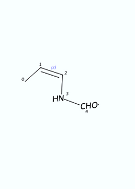 C/C=C\N[C]=O